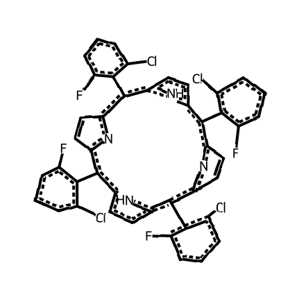 Fc1cccc(Cl)c1-c1c2nc(c(-c3c(F)cccc3Cl)c3ccc([nH]3)c(-c3c(F)cccc3Cl)c3nc(c(-c4c(F)cccc4Cl)c4ccc1[nH]4)C=C3)C=C2